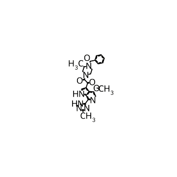 COc1cnc(-c2nc(C)n[nH]2)c2[nH]cc(C(=O)C(=O)N3CCN(C(=O)c4ccccc4)C(C)C3)c12